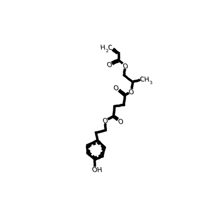 C=CC(=O)OCC(C)OC(=O)CCC(=O)OCCc1ccc(O)cc1